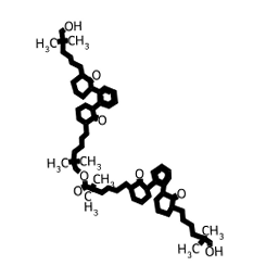 CC(C)(CO)CCCCC1CCCC(c2ccccc2C2CCCC(CCCCC(C)(C)COC(=O)C(C)(C)CCCCC3CCCC(c4ccccc4C4CCCC(CCCCC(C)(C)CO)C4=O)C3=O)C2=O)C1=O